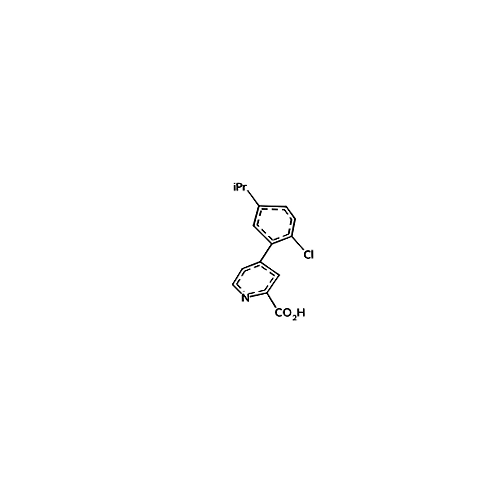 CC(C)c1ccc(Cl)c(-c2ccnc(C(=O)O)c2)c1